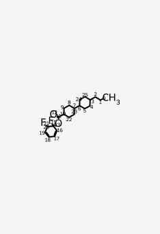 CCCC1CCC(C2CCC(C(=O)OC3(F)C=CC=CC3F)CC2)CC1